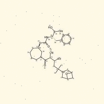 CCC(CC(C)(C)N1CC2CC(C1)O2)C(C#N)C(=O)N1CCCC[C@@H](OC(=O)N[C@@H](Cc2ccccc2)B(O)O)C1